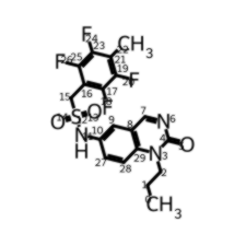 CCCn1c(=O)ncc2cc(NS(=O)(=O)Cc3c(F)c(F)c(C)c(F)c3F)ccc21